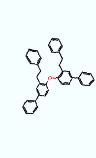 c1ccc(CCc2cc(-c3ccccc3)ccc2Oc2ccc(-c3ccccc3)cc2CCc2ccccc2)cc1